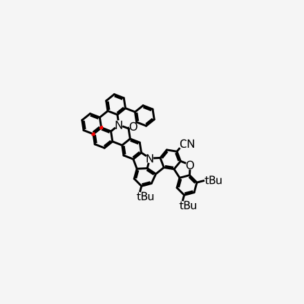 CC(C)(C)c1cc(C(C)(C)C)c2oc3c(C#N)cc4c(c5cc(C(C)(C)C)cc6c7cc8c(cc7n4c65)c(=O)n(-c4c(-c5ccccc5)cccc4-c4ccccc4)c4ccccc84)c3c2c1